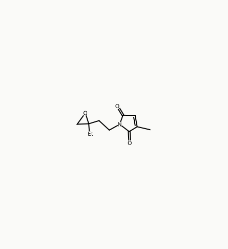 CCC1(CCN2C(=O)C=C(C)C2=O)CO1